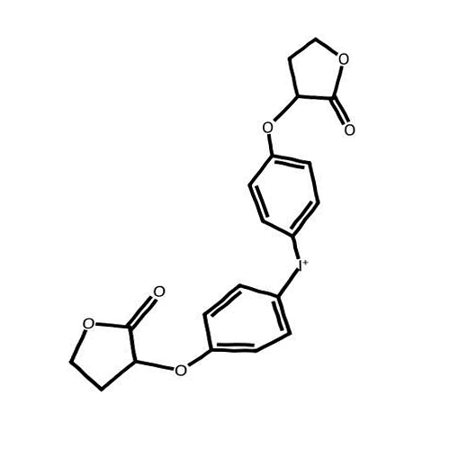 O=C1OCCC1Oc1ccc([I+]c2ccc(OC3CCOC3=O)cc2)cc1